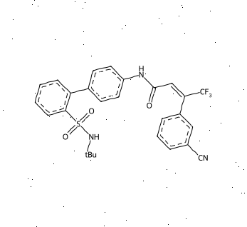 CC(C)(C)NS(=O)(=O)c1ccccc1-c1ccc(NC(=O)/C=C(\c2cccc(C#N)c2)C(F)(F)F)cc1